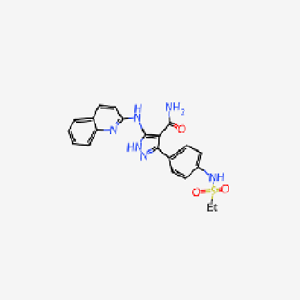 CCS(=O)(=O)Nc1ccc(-c2n[nH]c(Nc3ccc4ccccc4n3)c2C(N)=O)cc1